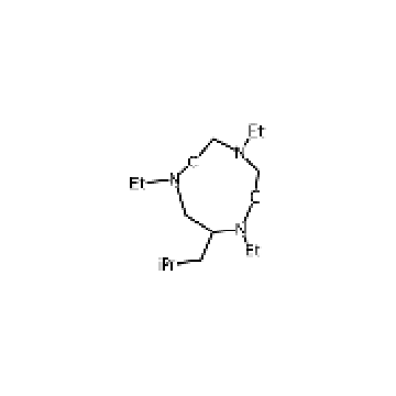 CCN1CCN(CC)CC(CC(C)C)N(CC)CC1